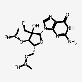 [2H]B(C)OC[C@H]1O[C@@H](n2cnc3c(=O)[nH]c(N)nc32)[C@@](O)(CF)[C@@H]1OB([2H])C